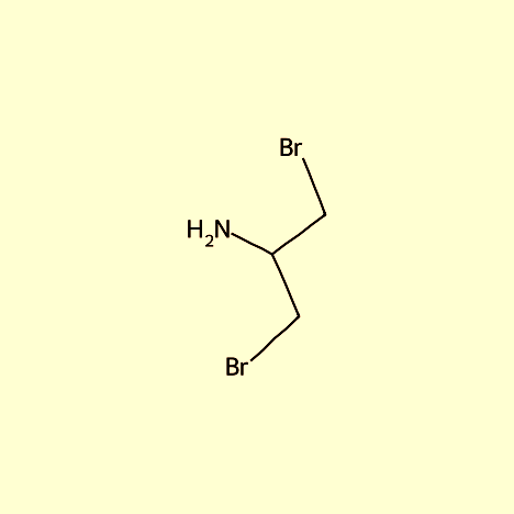 NC(CBr)CBr